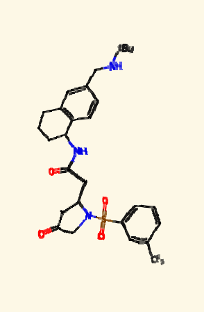 CC(C)(C)NCc1ccc2c(c1)CCCC2NC(=O)CC1CC(=O)CN1S(=O)(=O)c1cccc(C(F)(F)F)c1